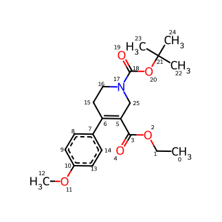 CCOC(=O)C1=C(c2ccc(OC)cc2)CCN(C(=O)OC(C)(C)C)C1